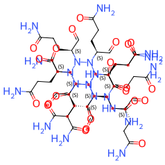 NC(=O)CC[C@@H](C=O)NN([C@H](C=O)CCC(N)=O)N([C@H](C=O)CCC(N)=O)N([C@H](C=O)CCC(N)=O)N([C@H](C=O)CCC(N)=O)N([C@H](C=O)CCC(N)=O)N([C@H](C=O)CCC(N)=O)N([C@H](C=O)CCC(N)=O)N([C@H](C=O)CCC(N)=O)N(N[C@H](C=O)CCC(N)=O)[C@H](C=O)CCC(N)=O